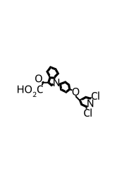 O=C(O)C(=O)c1cn(-c2ccc(OCc3cc(Cl)nc(Cl)c3)cc2)c2ccccc12